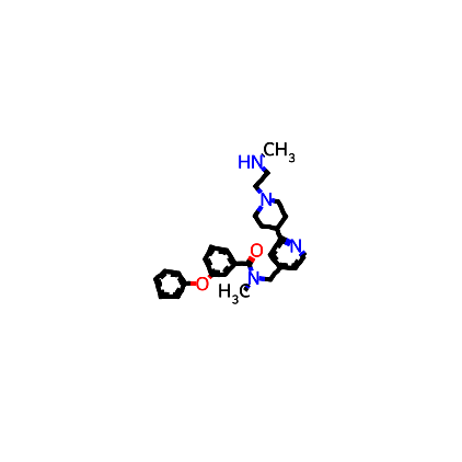 CNCCN1CCC(c2cc(CN(C)C(=O)c3cccc(Oc4ccccc4)c3)ccn2)CC1